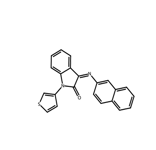 O=C1/C(=N\c2ccc3ccccc3c2)c2ccccc2N1c1ccsc1